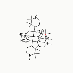 CN1CCC(C(CC(=O)O)(C(=O)O)C(C(=O)O)(C2CCN(C)C(C)(C)C2(C)C)C(C(=O)O)(C2CCN(C)C(C)(C)C2(C)C)C2CCN(C)C(C)(C)C2(C)C)C(C)(C)C1(C)C